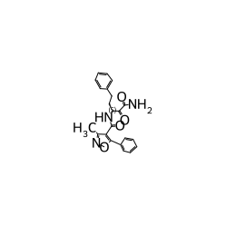 Cc1noc(-c2ccccc2)c1C(=O)N[C@@H](CCc1ccccc1)C(=O)C(N)=O